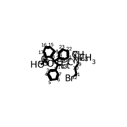 CCC(c1ccccc1)C(OB([O-])O)(c1ccccc1)c1ccccc1.C[N+](C)(C)CCCBr